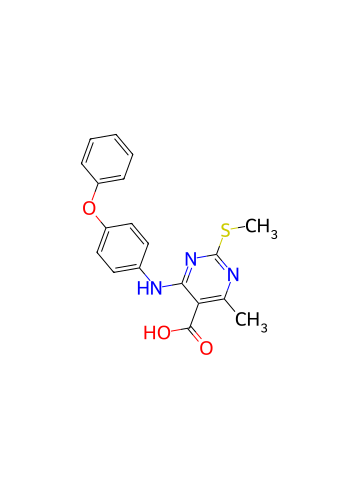 CSc1nc(C)c(C(=O)O)c(Nc2ccc(Oc3ccccc3)cc2)n1